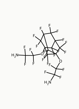 NC(F)(F)C(F)(F)OC12C(F)(F)C3(F)C(F)(F)C(F)(C1(F)F)C(F)(F)C(OC(F)(F)C(N)(F)F)(C3(F)F)C2(F)F